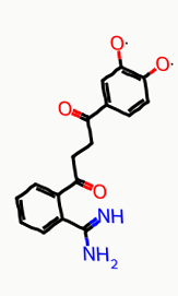 N=C(N)c1ccccc1C(=O)CCC(=O)c1ccc([O])c([O])c1